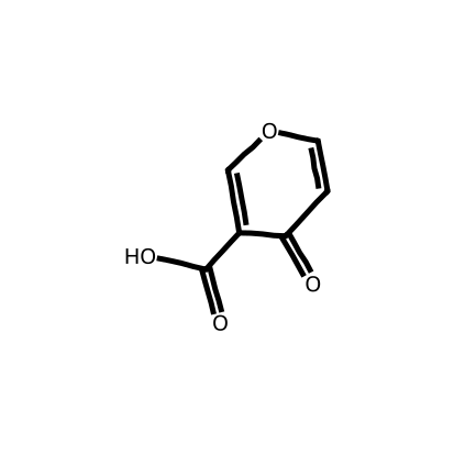 O=C(O)c1coccc1=O